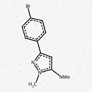 CNc1cc(-c2ccc(Br)cc2)nn1C